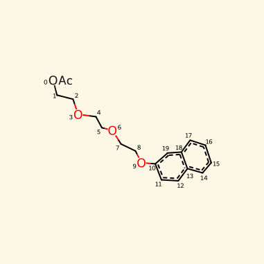 CC(=O)OCCOCCOCCOc1ccc2ccccc2c1